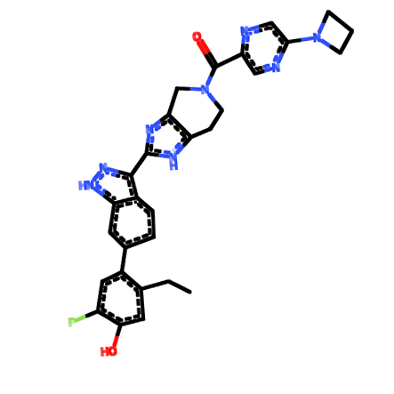 CCc1cc(O)c(F)cc1-c1ccc2c(-c3nc4c([nH]3)CCN(C(=O)c3cnc(N5CCC5)cn3)C4)n[nH]c2c1